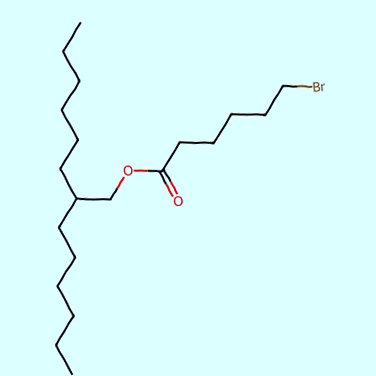 CCCCCCC(CCCCCC)COC(=O)CCCCCBr